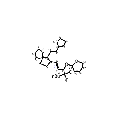 CCCCC(C)(F)C(/C=C/C1CCC2(OCCO2)C1CCC1SCCS1)OC1CCCCO1